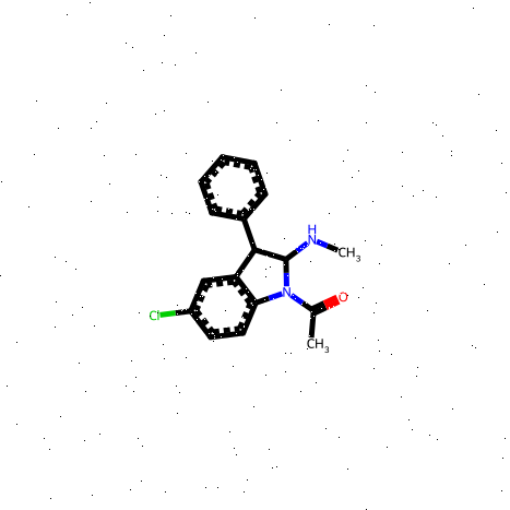 CNC1C(c2ccccc2)c2cc(Cl)ccc2N1C(C)=O